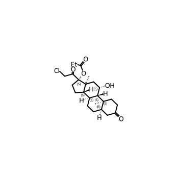 CCC(=O)O[C@@]1(C(=O)CCl)CC[C@H]2[C@@H]3CC[C@@H]4CC(=O)CC[C@]4(C)[C@H]3[C@@H](O)C[C@@]21C